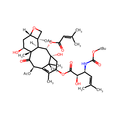 CC(=O)O[C@H]1C(=O)[C@@]2(C)[C@H]([C@H](OC(=O)C=C(C)C)[C@@]3(O)C[C@@H](OC(=O)[C@H](O)[C@H](C=C(C)C)NC(=O)OC(C)(C)C)C(C)=C1C3(C)C)[C@]1(OC(C)=O)CO[C@H]1C[C@@H]2O